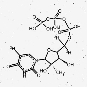 [2H]c1cn(C2OC(C([2H])([2H])OP(=O)(O)OP(=O)(O)OP(=O)(O)O)[C@@H](O)[C@@]2(C)O)c(=O)[nH]c1=O